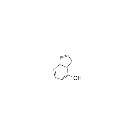 OC1=CC=CC2C=CCC12